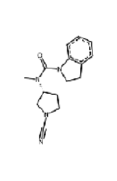 CN(C(=O)N1CCc2ccccc21)[C@@H]1CCN(C#N)C1